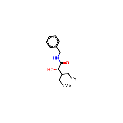 CNCC(CC(C)C)[C@@H](O)C(=O)NCc1ccccc1